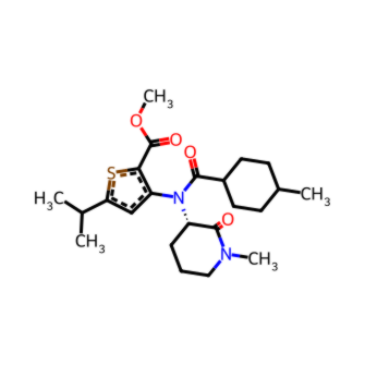 COC(=O)c1sc(C(C)C)cc1N(C(=O)C1CCC(C)CC1)[C@H]1CCCN(C)C1=O